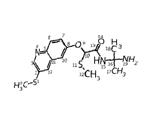 CSc1cnc2ccc(OC(SC)C(=O)NC(C)(C)N)cc2c1